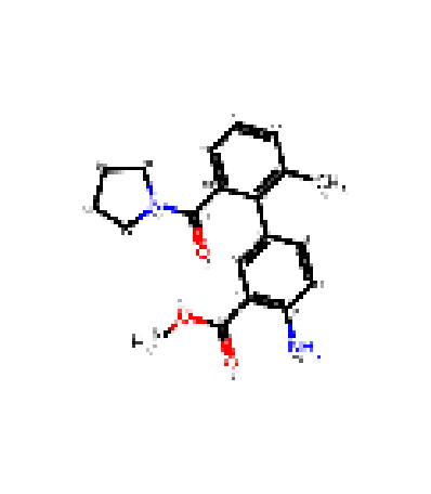 COC(=O)c1cc(-c2c(C)cccc2C(=O)N2CCCC2)ccc1N